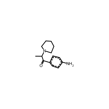 CC(C(=O)c1ccc(N)cc1)N1CCCCC1